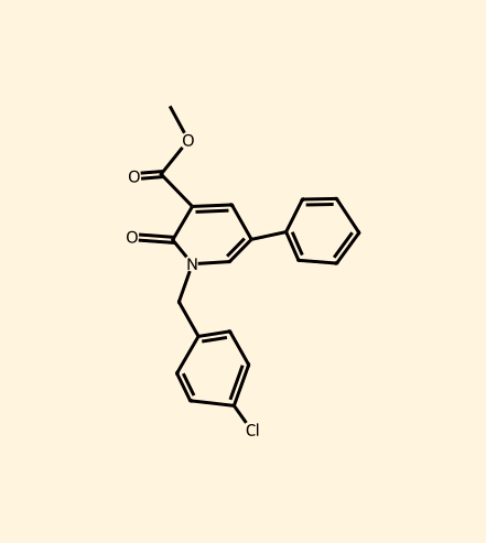 COC(=O)c1cc(-c2ccccc2)cn(Cc2ccc(Cl)cc2)c1=O